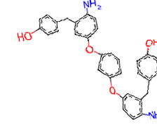 Nc1ccc(Oc2cccc(Oc3ccc(N)c(Cc4ccc(O)cc4)c3)c2)cc1Cc1ccc(O)cc1